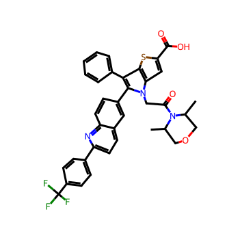 CC1COCC(C)N1C(=O)Cn1c(-c2ccc3nc(-c4ccc(C(F)(F)F)cc4)ccc3c2)c(-c2ccccc2)c2sc(C(=O)O)cc21